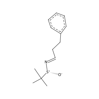 CC(C)(C)[S@@+]([O-])/N=C/CCc1ccccc1